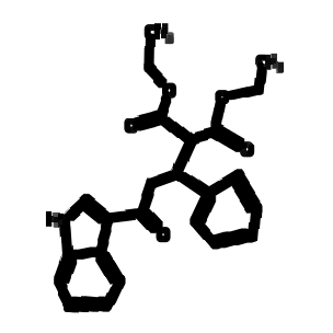 CCOC(=O)C(C(=O)OCC)C(CC(=O)c1c[nH]c2ccccc12)c1ccccc1